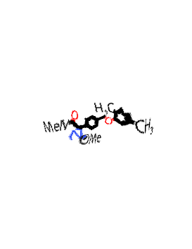 CNC(=O)/C(=N/OC)c1ccc(COc2cc(C)ccc2C)cc1